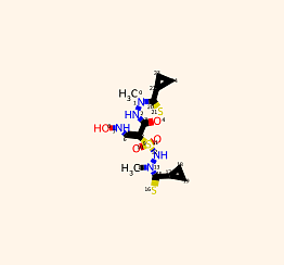 CN(NC(=O)C(=CNO)S(=O)(=O)NN(C)C(=S)C1CC1)C(=S)C1CC1